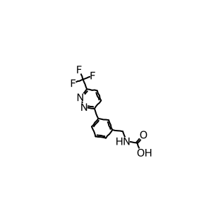 O=C(O)NCc1cccc(-c2ccc(C(F)(F)F)nn2)c1